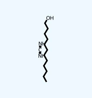 CCCCCCCCCCCCO.N=C=N